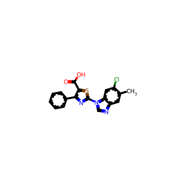 Cc1cc2ncn(-c3nc(-c4ccccc4)c(C(=O)O)s3)c2cc1Cl